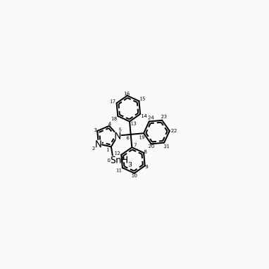 [SnH3][c]1nccn1C(c1ccccc1)(c1ccccc1)c1ccccc1